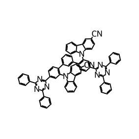 N#Cc1ccc2c(c1)c1ccccc1n2-c1cc(-c2nc(-c3ccccc3)nc(-c3ccccc3)n2)ccc1-c1cccc(-c2ccc(-c3nc(-c4ccccc4)nc(-c4ccccc4)n3)cc2-n2c3ccccc3c3cc(C#N)ccc32)c1